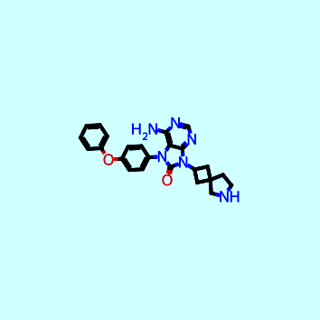 Nc1ncnc2c1n(-c1ccc(Oc3ccccc3)cc1)c(=O)n2C1CC2(CCNC2)C1